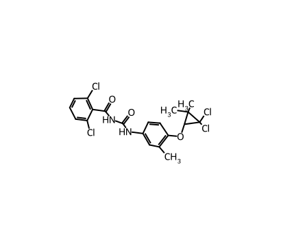 Cc1cc(NC(=O)NC(=O)c2c(Cl)cccc2Cl)ccc1OC1C(C)(C)C1(Cl)Cl